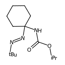 CC(C)OC(=O)NC1(/N=N/C(C)(C)C)CCCCC1